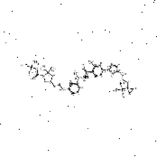 CC(C)(C)OC(=O)N1CC(CCNc2cccc([S+]([O-])NC(=O)c3ccc(-n4ccc(OCCC5(C(F)(F)F)CC5)n4)nc3Cl)n2)CC1(C)C